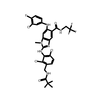 Cn1c(Nc2c(Cl)ccc(CNC(=O)C(C)(C)C)c2Cl)nc2cc(C(=O)NCC(F)(F)F)c(Nc3ccc(F)c(Cl)c3)cc21